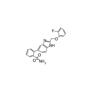 NS(=O)(=O)c1ccccc1-c1ccc2[nH]c(COc3ccccc3F)nc2c1